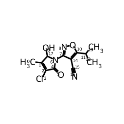 CC1=C(Cl)C(=O)N(c2noc(C(C)C)c2C#N)C1O